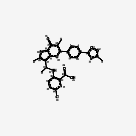 Cc1noc(-c2ccc(-c3oc4c(C(C)Nc5ccc(Cl)nc5C(=O)O)c(C)sc4c(=O)c3C)cc2)n1